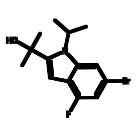 CC(C)n1c(C(C)(C)O)cc2c(F)cc(Br)cc21